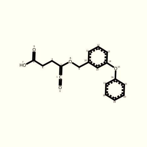 O=C=C(CCC(=O)O)OCc1cccc(Oc2ccccc2)c1